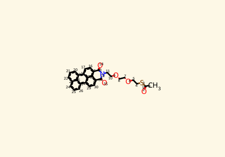 CC(=O)SCCOCCOCCN1C(=O)c2ccc3c4cccc5cccc(c6ccc(c2c36)C1=O)c54